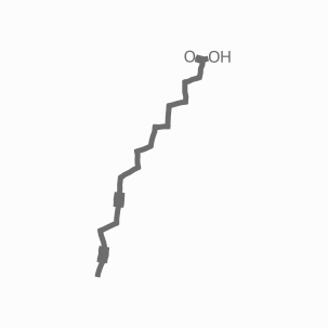 CC#CCCC#CCCCCCCCCCCC(=O)O